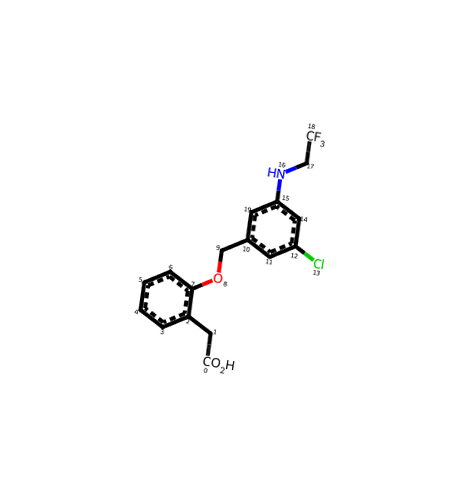 O=C(O)Cc1ccccc1OCc1cc(Cl)cc(NCC(F)(F)F)c1